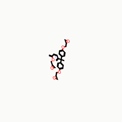 C=C(/C=C\C(=C)C(C)(c1ccc(OCC2CO2)cc1)c1ccc(OCC2CO2)cc1)OCC1CO1